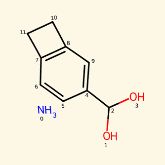 N.OC(O)c1ccc2c(c1)CC2